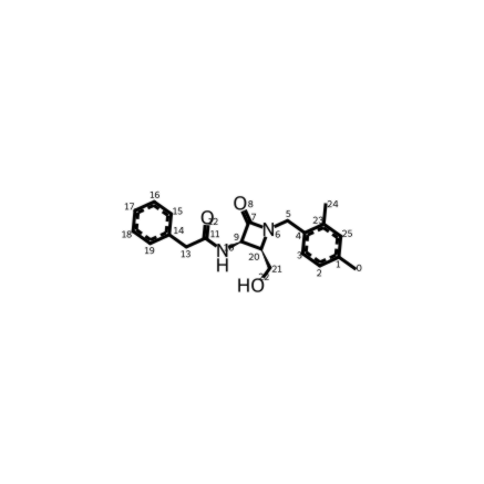 Cc1ccc(CN2C(=O)[C@H](NC(=O)Cc3ccccc3)[C@@H]2CO)c(C)c1